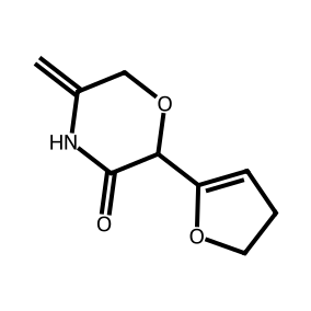 C=C1COC(C2=CCCO2)C(=O)N1